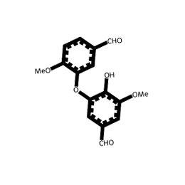 COc1ccc(C=O)cc1Oc1cc(C=O)cc(OC)c1O